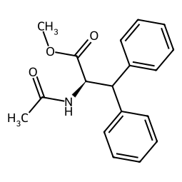 COC(=O)[C@H](NC(C)=O)C(c1ccccc1)c1ccccc1